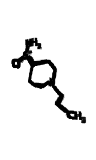 CCCN1CCC([S+](N)[O-])CC1